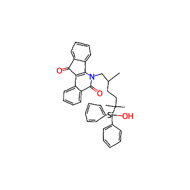 CC(CCC(C)(C)[Si](O)(c1ccccc1)c1ccccc1)Cn1c2c(c3ccccc3c1=O)C(=O)c1ccccc1-2